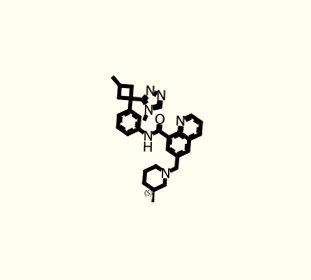 CC1CC(c2cccc(NC(=O)c3cc(CN4CCC[C@H](C)C4)cc4cccnc34)c2)(c2nncn2C)C1